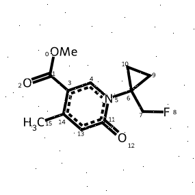 COC(=O)c1cn(C2(CF)CC2)c(=O)cc1C